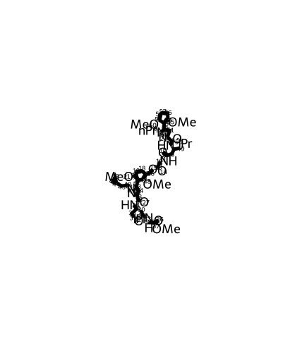 CCCn1nc(C(=O)NC(CC(=O)NCC(=O)OCc2ccc(OC)c(-c3cc(C(=O)N[C@H](CC(=O)NCC(=O)OC)CC(C)C)nn3CCC3CC3)c2OC)CC(C)C)cc1-c1c(OC)cccc1OC